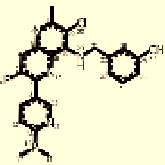 Cc1nc2cc(F)c(-c3ccc(P(C)C)nc3)nc2c(NCc2cccc(C#N)c2)c1Cl